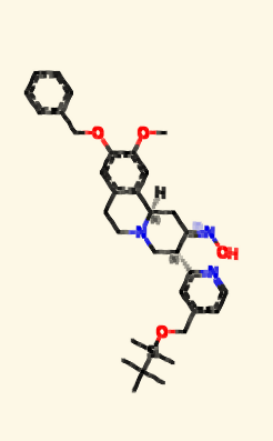 COc1cc2c(cc1OCc1ccccc1)CCN1C[C@@H](c3cc(CO[Si](C)(C)C(C)(C)C)ccn3)/C(=N\O)C[C@H]21